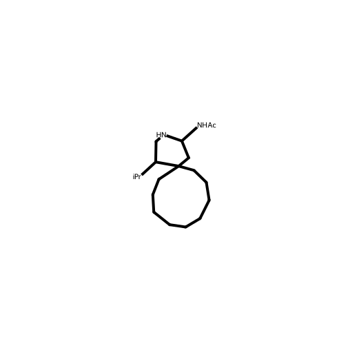 CC(=O)NC1CC2(CCCCCCCCC2)C(C(C)C)CN1